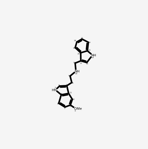 COc1ccc2[nH]cc(CCNCc3c[nH]c4ccccc34)c2c1